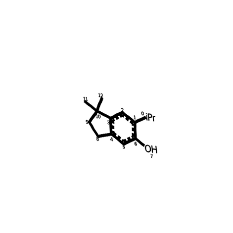 CC(C)c1cc2c(cc1O)CCC2(C)C